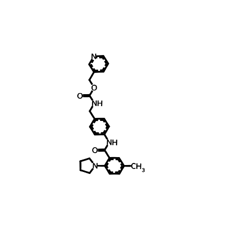 Cc1ccc(N2CCCC2)c(C(=O)Nc2ccc(CNC(=O)OCc3cccnc3)cc2)c1